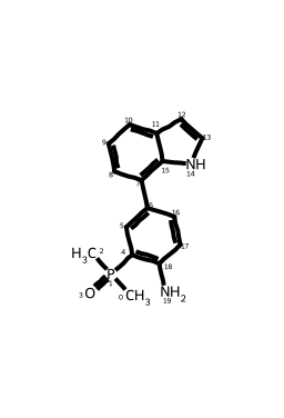 CP(C)(=O)c1cc(-c2cccc3cc[nH]c23)ccc1N